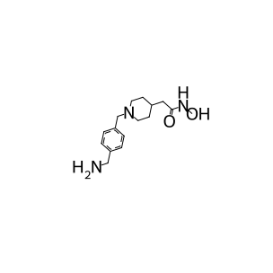 NCc1ccc(CN2CCC(CC(=O)NO)CC2)cc1